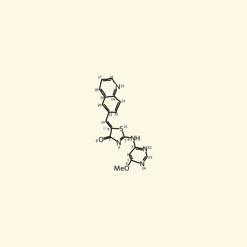 COc1cc(NC2=NC(=O)/C(=C/c3ccc4ncccc4c3)S2)ncn1